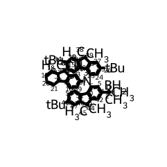 BC(C)(C)c1cc(N(c2ccc3c(c2)C(C)(C)C2C=CC=CC32)c2cc(C(C)(C)C)cc3c2-c2ccc(C(C)(C)C)cc2C3(C)C)c2c(c1)C(C)(C)c1cc(C(C)(C)C)ccc1-2